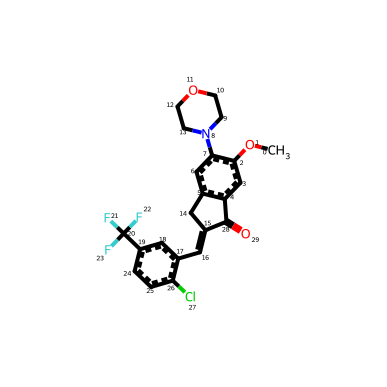 COc1cc2c(cc1N1CCOCC1)C/C(=C\c1cc(C(F)(F)F)ccc1Cl)C2=O